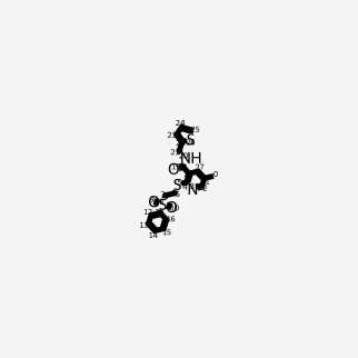 Cc1cnc(SCCS(=O)(=O)c2ccccc2)c(C(=O)NCc2cccs2)c1